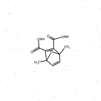 COC(=O)C1=C(C(=O)OC)C2(C)C=CC1(C)O2